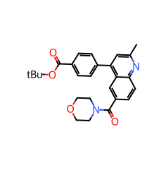 Cc1cc(-c2ccc(C(=O)OC(C)(C)C)cc2)c2cc(C(=O)N3CCOCC3)ccc2n1